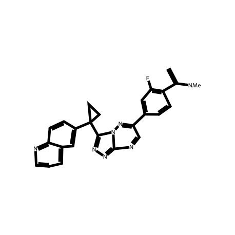 C=C(NC)c1ccc(-c2cnc3nnc(C4(c5ccc6ncccc6c5)CC4)n3n2)cc1F